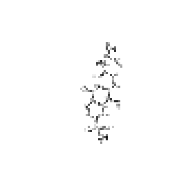 O=C1c2ccc(S(=O)(=O)O)cc2C(=O)c2ccc(NS(=O)O)cc21